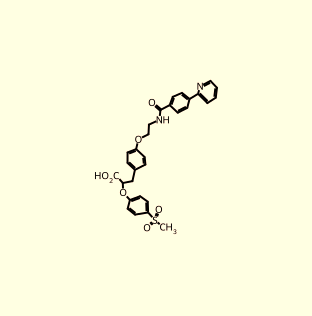 CS(=O)(=O)c1ccc(OC(Cc2ccc(OCCNC(=O)c3ccc(-c4ccccn4)cc3)cc2)C(=O)O)cc1